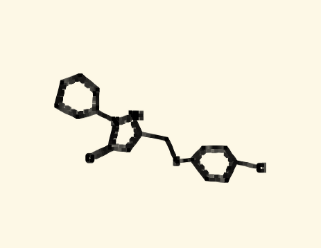 O=c1cc(CSc2ccc(Cl)cc2)[nH]n1-c1ccccc1